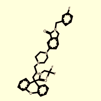 O=C1c2cc(N3CCN(CCCC4(C(=O)NCC(F)(F)F)c5ccccc5Oc5ccccc54)CC3)ccc2CN1Cc1cccc(F)c1